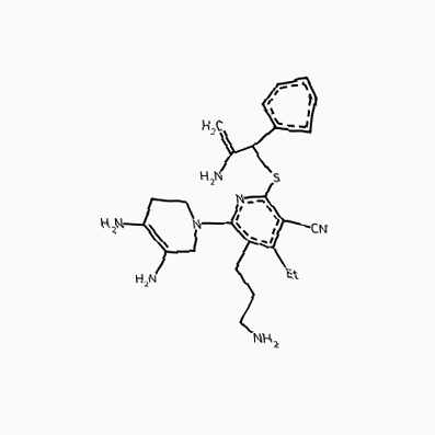 C=C(N)C(Sc1nc(N2CCC(N)=C(N)C2)c(CCCN)c(CC)c1C#N)c1ccccc1